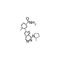 Cc1ccc(C(N)=O)cc1-c1cc2cnnc(N3CCCC3C)c2s1